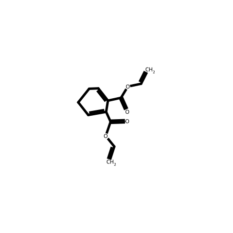 C=COC(=O)C1=CCCC=C1C(=O)OC=C